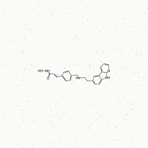 O=C(/C=C/c1ccc(CNCCc2ccc3[nH]c4ncccc4c3c2)cc1)NO